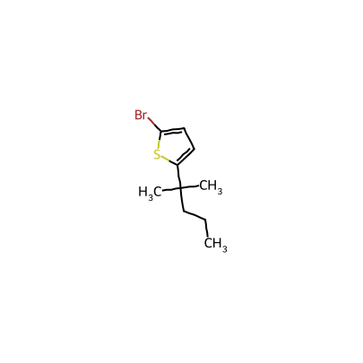 CCCC(C)(C)c1ccc(Br)s1